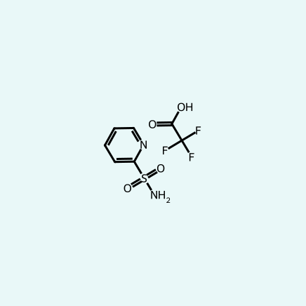 NS(=O)(=O)c1ccccn1.O=C(O)C(F)(F)F